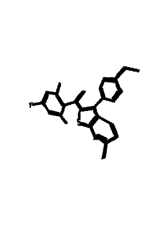 C=C(c1sc2cc(C)ccc2c1-c1ccc(CC)cc1)c1c(C)cc(F)cc1C